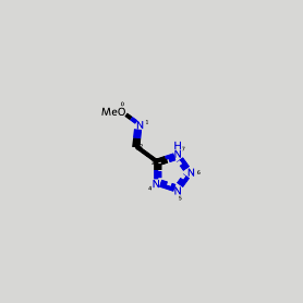 CON=Cc1nnn[nH]1